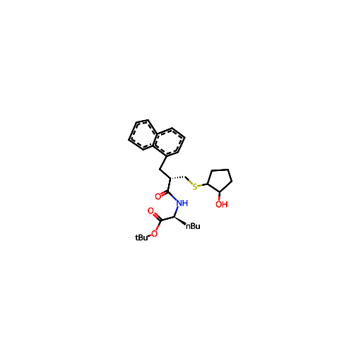 CCCC[C@H](NC(=O)[C@@H](CSC1CCCC1O)Cc1cccc2ccccc12)C(=O)OC(C)(C)C